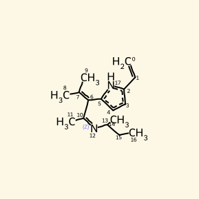 C=Cc1ccc(C(=C(C)C)/C(C)=N\C(C)CC)[nH]1